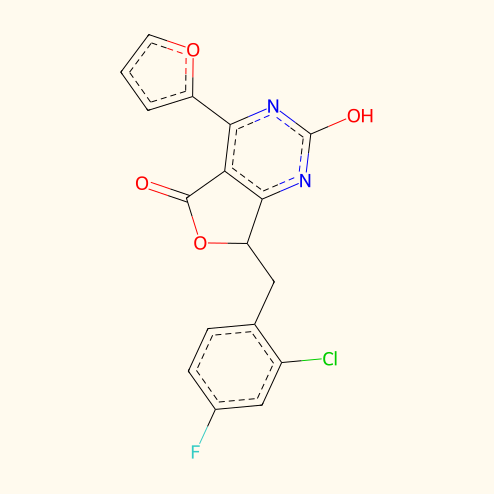 O=C1OC(Cc2ccc(F)cc2Cl)c2nc(O)nc(-c3ccco3)c21